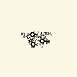 CNC(=O)C[C@H](NC(=O)c1ccc2c(c1)N(S(=O)(=O)c1cccc(C)c1)C[C@@H](CO)O2)c1cc(C(F)(F)F)ccc1Cl